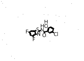 O=C(Nc1nc2c(F)cc(F)cc2s1)c1cc(Cl)ccc1O